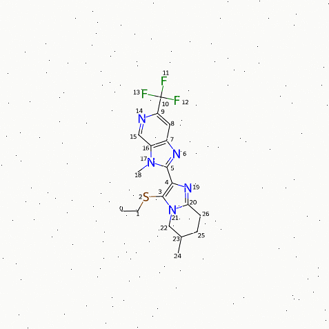 CCSc1c(-c2nc3cc(C(F)(F)F)ncc3n2C)nc2n1CC(C)CC2